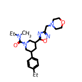 CCc1ccc(C2CC(c3nc(CN4CCOCC4)no3)CN(C(=O)N(C)CC)C2)cc1